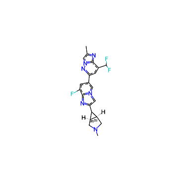 Cc1cn2nc(-c3cc(F)c4nc(C5[C@H]6CN(C)C[C@@H]56)cn4c3)cc(C(F)F)c2n1